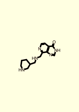 O=c1[nH]cnc2c(CNCC3CCCNC3)nccc12